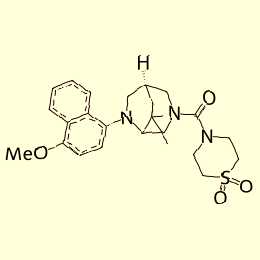 COc1ccc(N2C[C@H]3CN(C(=O)N4CCS(=O)(=O)CC4)CC2C(C)(C)C3)c2ccccc12